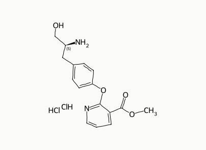 COC(=O)c1cccnc1Oc1ccc(C[C@H](N)CO)cc1.Cl.Cl